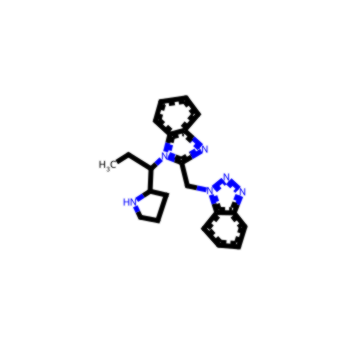 CCC(C1CCCN1)n1c(Cn2nnc3ccccc32)nc2ccccc21